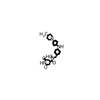 CC1CCN(c2ccc(Nc3ccc(CN(O)C(=O)C4CC(=O)NC(=O)C4)cc3)cc2)CC1